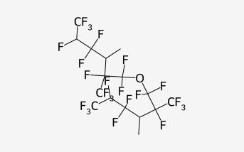 CC(C(F)(F)C(F)C(F)(F)F)C(F)(C(F)(F)F)C(F)(F)OC(F)(F)C(F)(C(C)C(F)(F)C(F)C(F)(F)F)C(F)(F)F